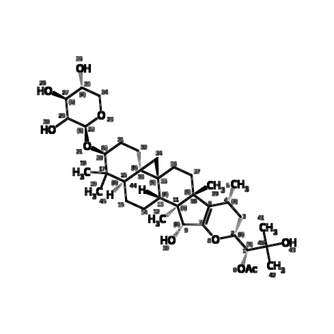 CC(=O)O[C@H]([C@H]1C[C@@H](C)C2=C(O1)[C@H](O)[C@@]1(C)[C@@H]3CC[C@H]4C(C)(C)[C@@H](O[C@@H]5OC[C@@H](O)[C@H](O)C5O)CC[C@@]45C[C@@]35CC[C@]21C)C(C)(C)O